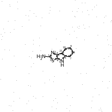 Nc1nc2c([nH]c3ccccc32)s1